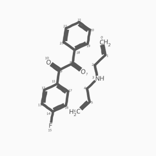 C=CCNCC=C.O=C(C(=O)c1ccc(F)cc1)c1ccccc1